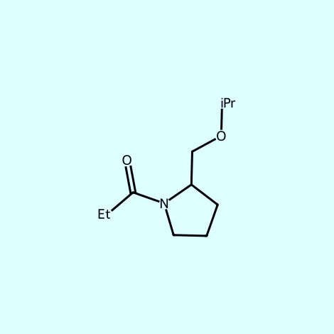 CCC(=O)N1CCCC1COC(C)C